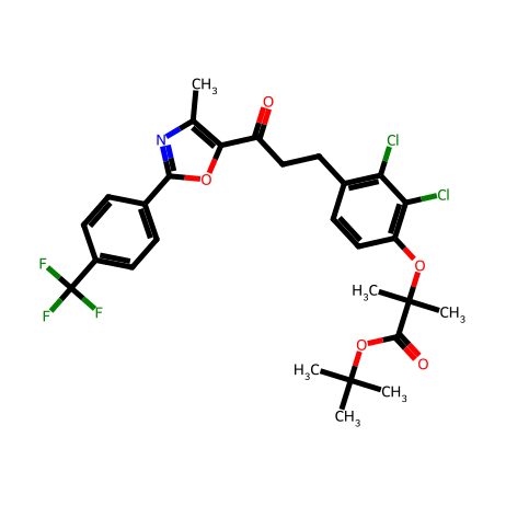 Cc1nc(-c2ccc(C(F)(F)F)cc2)oc1C(=O)CCc1ccc(OC(C)(C)C(=O)OC(C)(C)C)c(Cl)c1Cl